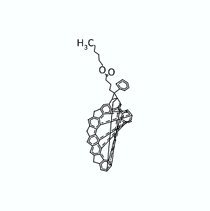 CCCCCCOC(=O)CCCC1(c2ccccc2)C2c3cc4c5c6c(cc7c8c9c(cc%10cc%11c%12c%13c(cc%14c%15c(c%16c3c5c3c%16c(c%15%13)c5c%12c%10c9c5c3c68)C21C%14)C%11)C7)C4